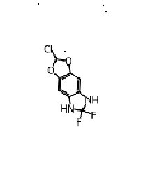 FC1(F)Nc2cc3c(cc2N1)OC(Cl)O3